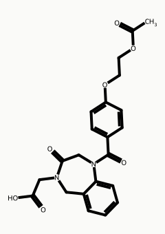 CC(=O)OCCOc1ccc(C(=O)N2CC(=O)N(CC(=O)O)Cc3ccccc32)cc1